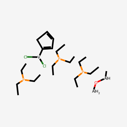 CCP(CC)CC.CCP(CC)CC.CCP(CC)CC.[CH3][AlH][O][AlH2].[Cl][V]([Cl])[C]1=CC=CC1